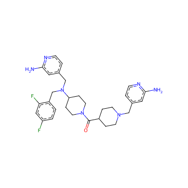 Nc1cc(CN2CCC(C(=O)N3CCC(N(Cc4ccnc(N)c4)Cc4ccc(F)cc4F)CC3)CC2)ccn1